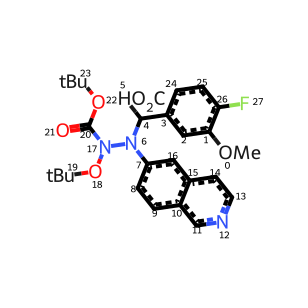 COc1cc(C(C(=O)O)N(c2ccc3cnccc3c2)N(OC(C)(C)C)C(=O)OC(C)(C)C)ccc1F